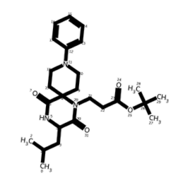 CC(C)CC1NC(=O)C2(CCN(c3ccccc3)CC2)N(CCC(=O)OC(C)(C)C)C1=O